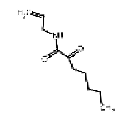 C=CCNC(=O)C(=O)CCCCC